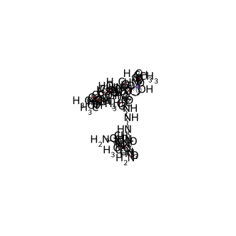 CCN(CC(=O)NCCCNCCCCNCCCNC(=O)[C@H](CCCNC(N)=O)NC(=O)[C@@H](NC(=O)[C@H](CCCCN)NC(C)=O)C(C)C)[C@H]1CO[C@@H](O[C@H]2[C@H](O[C@H]3C#CC=CC#C[C@]4(O)CC(=O)C(NC(=O)OC)=C3/C4=C\CSSC(C)C)O[C@H](C)[C@@H](NO[C@H]3C[C@H](O)[C@H]([SH]=C(O)c4c(C)c(I)c(O[C@@H]5O[C@@H](C)[C@H](O)[C@@H](OC)[C@H]5O)c(OC)c4OC)[C@@H](C)O3)[C@@H]2O)C[C@@H]1OC